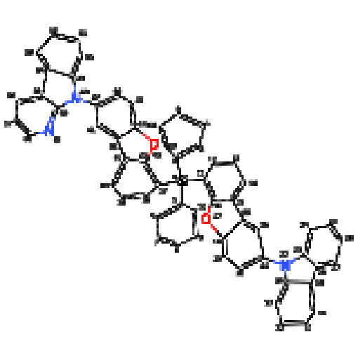 c1ccc([Si](c2ccccc2)(c2cccc3c2oc2ccc(-n4c5ccccc5c5ccccc54)cc23)c2cccc3c2oc2ccc(-n4c5ccccc5c5cccnc54)cc23)cc1